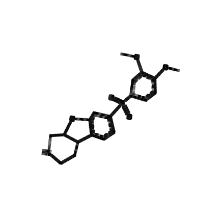 COc1ccc(S(=O)(=O)c2ccc3c(c2)OC2CNCCC32)cc1OC